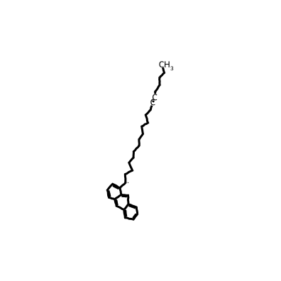 CCCCCCCCCCCCCCCCCCC[CH]c1cccc2cc3ccccc3cc12